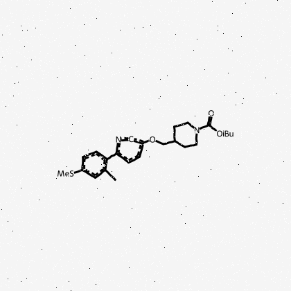 CSc1ccc(-c2ccc(OCC3CCN(C(=O)OCC(C)C)CC3)cn2)c(C)c1